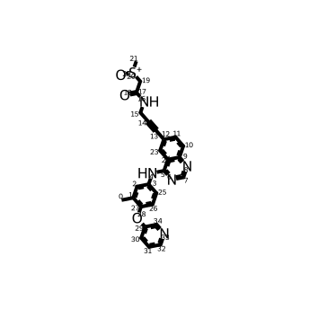 Cc1cc(Nc2ncnc3ccc(C#CCNC(=O)C[S+](C)[O-])cc23)ccc1Oc1cccnc1